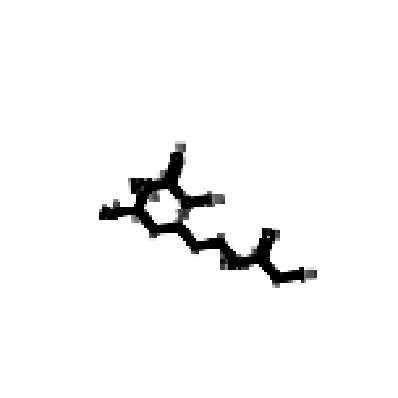 CC(=O)[C@H](CCCCNC(=O)CI)NC(=O)OI